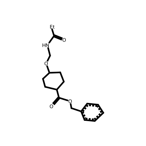 CCC(=O)NCOC1CCC(C(=O)OCc2ccccc2)CC1